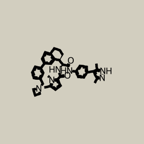 Cc1n[nH]c(C)c1-c1ccc(NC(=O)[C@@H](NC(=O)c2ccc(C)n2C)[C@@H]2CCCc3ccc(-c4cccc(CN5CCC5)c4)cc32)cc1